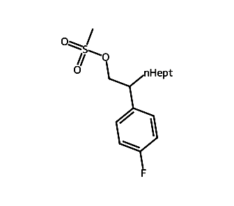 CCCCCCCC(COS(C)(=O)=O)c1ccc(F)cc1